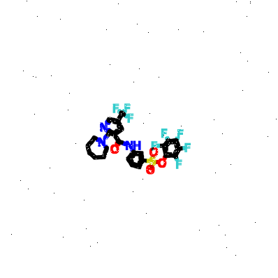 O=C(Nc1cccc(S(=O)(=O)Oc2c(F)c(F)c(F)c(F)c2F)c1)c1cc(C(F)(F)F)cnc1N1CCCCCC1